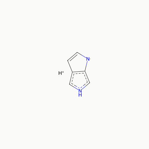 C1=Cc2c[nH]cc2[N]1.[H+]